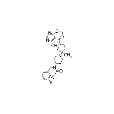 Cc1ncnc(C)c1C(=O)N1CCC(C)(N2CCC(N(Cc3cccc(F)c3)C(=O)C3CC3)CC2)CC1